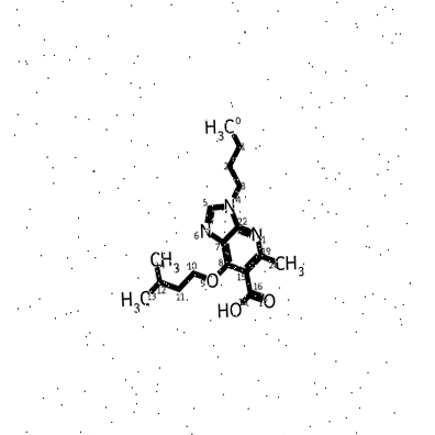 CCCCn1cnc2c(OCCC(C)C)c(C(=O)O)c(C)nc21